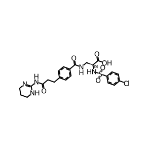 O=C(CCc1ccc(C(=O)NC[C@H](NS(=O)(=O)c2ccc(Cl)cc2)C(=O)O)cc1)NC1=NCCCN1